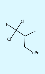 CCCCC(F)C(F)(Cl)Cl